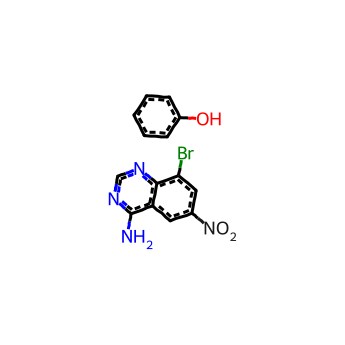 Nc1ncnc2c(Br)cc([N+](=O)[O-])cc12.Oc1ccccc1